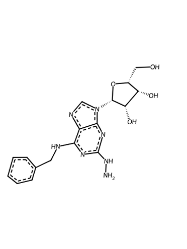 NNc1nc(NCc2ccccc2)c2ncn([C@@H]3O[C@H](CO)[C@H](O)[C@@H]3O)c2n1